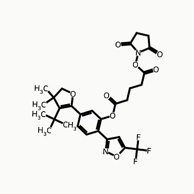 CC(C)(C)C1=C(c2ccc(-c3cc(C(F)(F)F)on3)c(OC(=O)CCCC(=O)ON3C(=O)CCC3=O)c2)OCC1(C)C